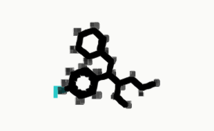 CCCC(CC)C(CC1=CCCCC1)c1ccc(F)cc1